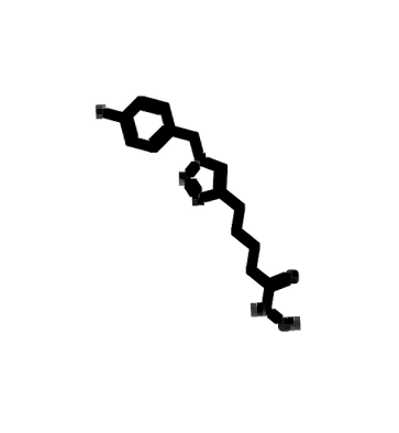 O=C(CCCCc1cn(Cc2ccc(F)cc2)nn1)NO